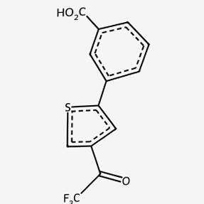 O=C(O)c1cccc(-c2cc(C(=O)C(F)(F)F)cs2)c1